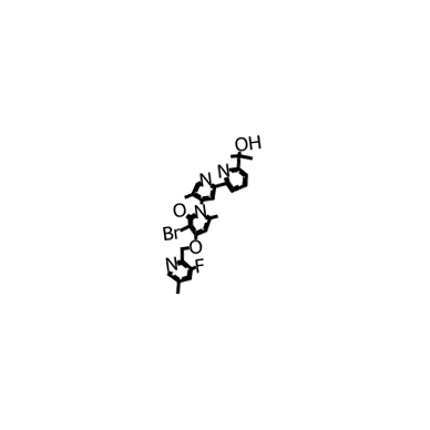 Cc1cnc(COc2cc(C)n(-c3cc(-c4cccc(C(C)(C)O)n4)ncc3C)c(=O)c2Br)c(F)c1